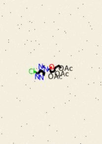 CC(=O)OCC1OC(n2cnc3c(Cl)nncc32)C(OC(C)=O)C1OC(C)=O